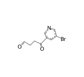 O=CCCC(=O)c1cncc(Br)c1